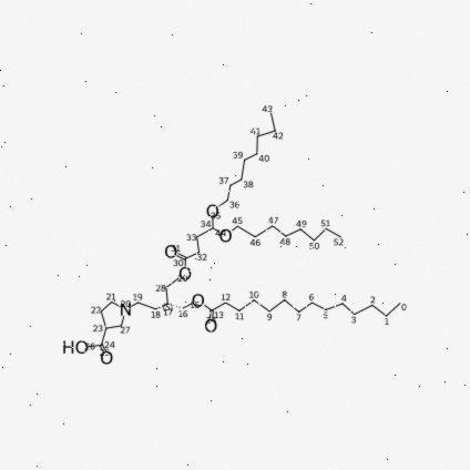 CCCCCCCCCCCCCC(=O)OC[C@H](CCN1CCC(C(=O)O)C1)COC(=O)CCC(OCCCCCCCC)OCCCCCCCC